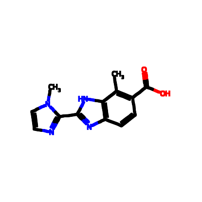 Cc1c(C(=O)O)ccc2nc(-c3nccn3C)[nH]c12